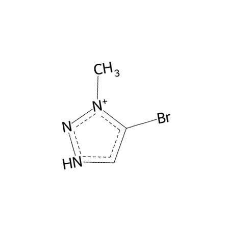 C[n+]1n[nH]cc1Br